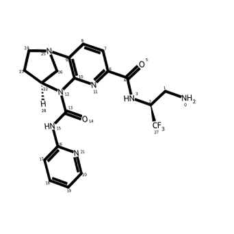 NC[C@H](NC(=O)c1ccc2c(n1)N(C(=O)Nc1ccccn1)[C@H]1CCN2C1)C(F)(F)F